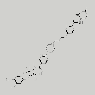 CC1(C)C(NC(=O)c2ccc(N3CCN(CCCOc4ccc(C(=O)NC5CCC(=O)NC5=O)nc4)CC3)nc2)C(C)(C)C1Oc1ccc(C#N)c(Cl)c1